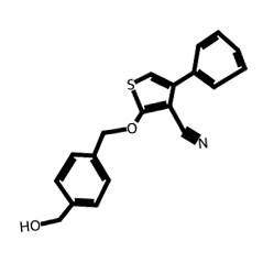 N#Cc1c(-c2ccccc2)csc1OCc1ccc(CO)cc1